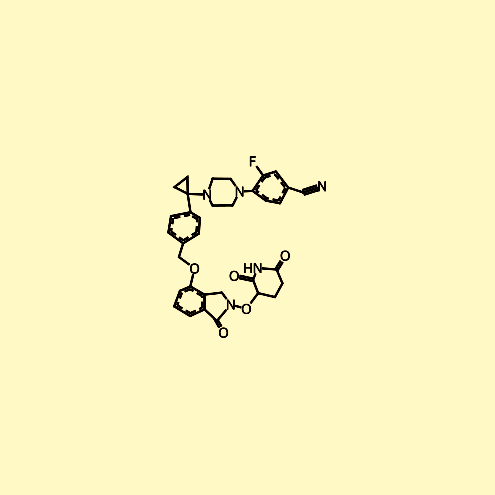 N#Cc1ccc(N2CCN(C3(c4ccc(COc5cccc6c5CN(OC5CCC(=O)NC5=O)C6=O)cc4)CC3)CC2)c(F)c1